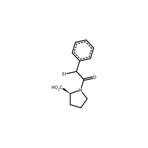 CCC(C(=O)N1CCC[C@H]1C(=O)O)c1ccccc1